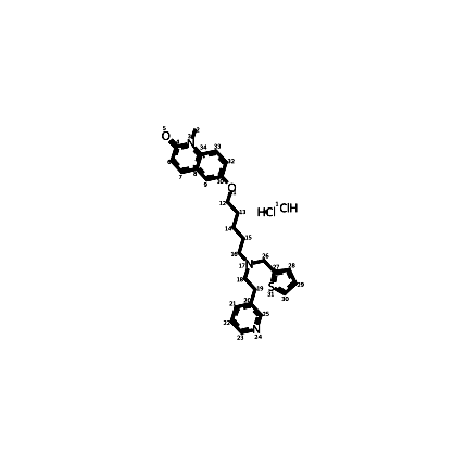 Cl.Cl.Cn1c(=O)ccc2cc(OCCCCCN(CCc3cccnc3)Cc3cccs3)ccc21